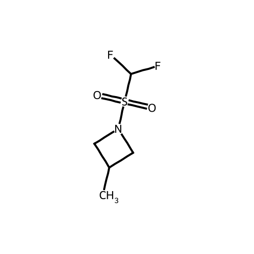 CC1CN(S(=O)(=O)C(F)F)C1